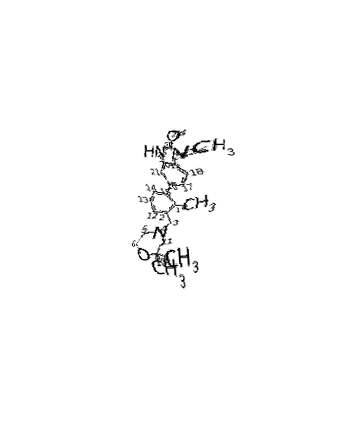 Cc1c(CN2CCOC(C)(C)C2)cccc1-c1ccc2c(c1)[nH]c(=O)n2C